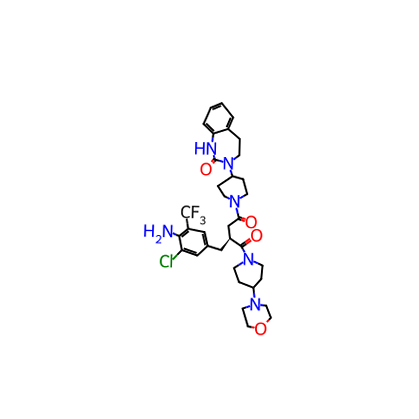 Nc1c(Cl)cc(C[C@@H](CC(=O)N2CCC(N3CCc4ccccc4NC3=O)CC2)C(=O)N2CCC(N3CCOCC3)CC2)cc1C(F)(F)F